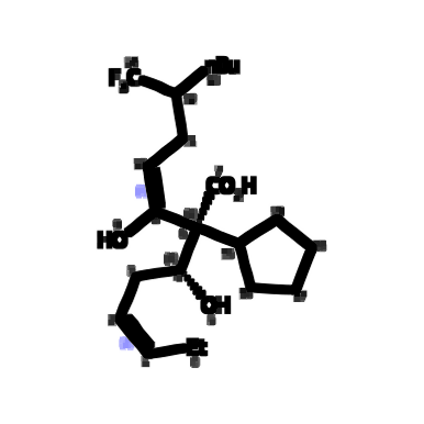 CC/C=C\C[C@@H](O)[C@@](C(=O)O)(/C(O)=C\CC(CCCC)C(F)(F)F)C1CCCC1